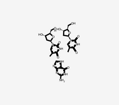 Cc1cn([C@H]2C[C@H](O)[C@@H](CO)O2)c(=O)[nH]c1=O.Cc1cn([C@H]2C[C@H](O)[C@@H](CO)O2)c(=O)[nH]c1=O.Nc1nc2nc[nH]c2c(=O)[nH]1